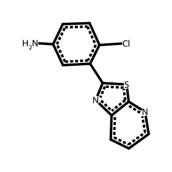 Nc1ccc(Cl)c(-c2nc3cccnc3s2)c1